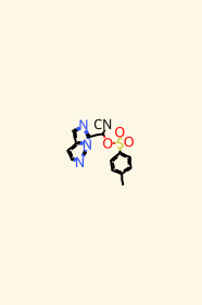 Cc1ccc(S(=O)(=O)OC(C#N)c2ncc3ccncn23)cc1